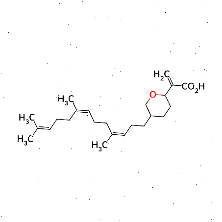 C=C(C(=O)O)C1CCC(CCC=C(C)CCC=C(C)CCC=C(C)C)CO1